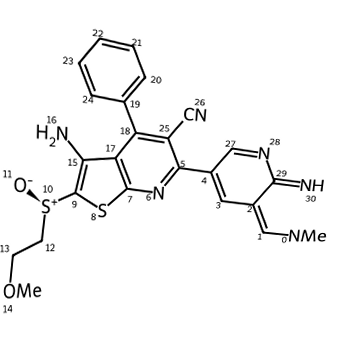 CN/C=C1/C=C(c2nc3sc([S@+]([O-])CCOC)c(N)c3c(-c3ccccc3)c2C#N)C=NC1=N